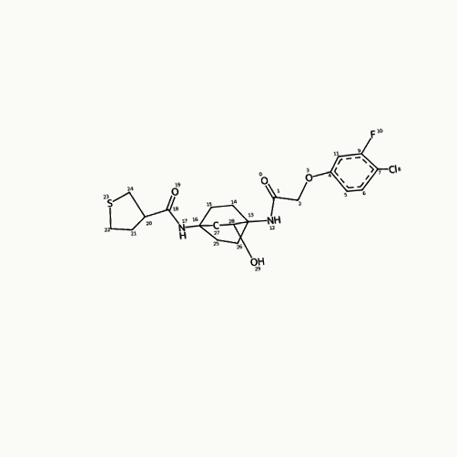 O=C(COc1ccc(Cl)c(F)c1)NC12CCC(NC(=O)C3CCSC3)(CC1)CC2O